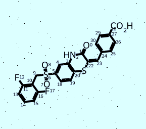 O=C1Nc2cc(S(=O)(=O)Cc3c(F)cccc3F)ccc2S/C1=C/c1ccc(C(=O)O)cc1